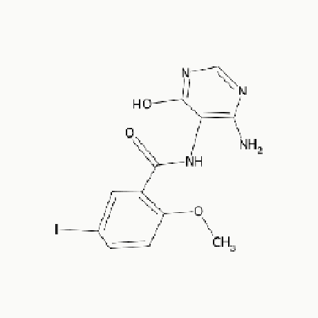 COc1ccc(I)cc1C(=O)Nc1c(N)ncnc1O